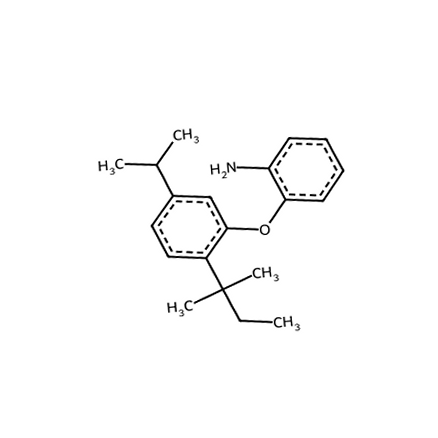 CCC(C)(C)c1ccc(C(C)C)cc1Oc1ccccc1N